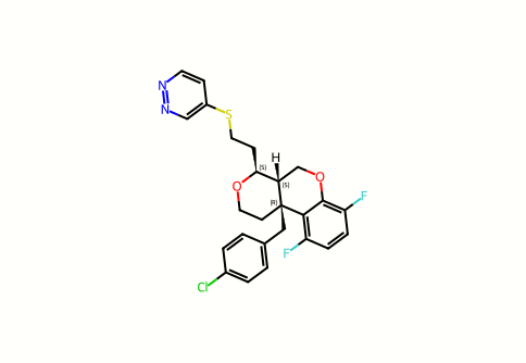 Fc1ccc(F)c2c1OC[C@H]1[C@H](CCSc3ccnnc3)OCC[C@@]21Cc1ccc(Cl)cc1